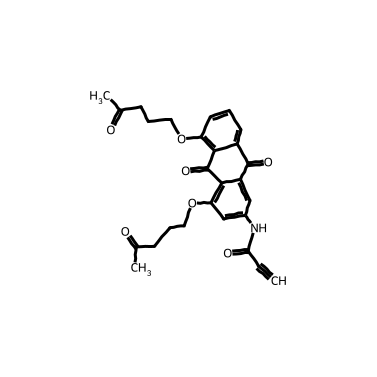 C#CC(=O)Nc1cc(OCCCC(C)=O)c2c(c1)C(=O)c1cccc(OCCCC(C)=O)c1C2=O